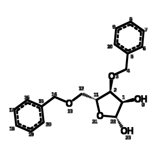 O[C@@H]1[C@H](OCc2ccccc2)[C@@H](COCc2ccccc2)O[C@H]1O